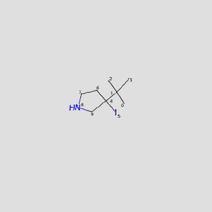 CC(C)(C)C1(I)CCNC1